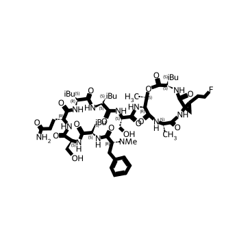 CC[C@H](C)[C@H](NC(=O)[C@@H](Cc1ccccc1)NC)C(=O)N[C@@H](CO)C(=O)N[C@H](CCC(N)=O)C(=O)N[C@@H](C(=O)N[C@H](C(=O)N[C@@H](CO)C(=O)N[C@H]1C(=O)N[C@@H](C)C(=O)NC2(CC2CCF)C(=O)N[C@@H]([C@@H](C)CC)C(=O)O[C@H]1C)[C@@H](C)CC)[C@@H](C)CC